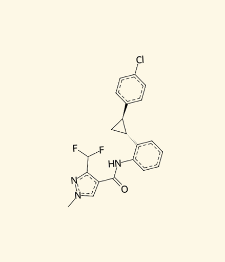 Cn1cc(C(=O)Nc2ccccc2[C@@H]2C[C@H]2c2ccc(Cl)cc2)c(C(F)F)n1